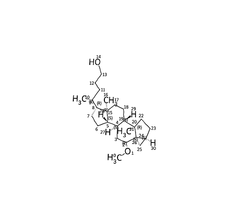 CO[C@@H]1C[C@H]2[C@@H]3CC[C@H]([C@H](C)CCCO)[C@@]3(C)CC[C@@H]2[C@@]2(C)CC[C@H]3C[C@]312